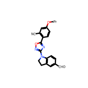 CC(C)Oc1ccc(-c2nc(N3CCc4cc(C=O)ccc43)no2)c(C#N)c1